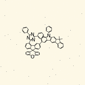 CC1(C)c2ccccc2-c2cc3c4cc(-c5ccc6c(c5)-c5c(-c7nc(-c8ccccc8)nc(-c8ccccc8)n7)cccc5C65c6ccccc6Oc6ccccc65)ccc4n(-c4ccccc4)c3cc21